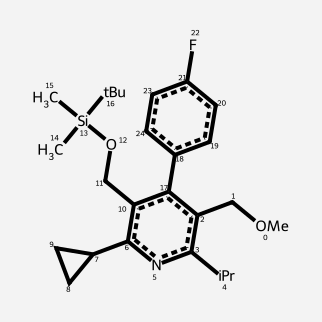 COCc1c(C(C)C)nc(C2CC2)c(CO[Si](C)(C)C(C)(C)C)c1-c1ccc(F)cc1